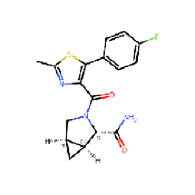 Cc1nc(C(=O)N2C[C@@H]3C[C@@H]3[C@H]2C(N)=O)c(-c2ccc(F)cc2)s1